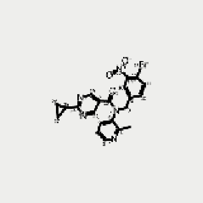 Cc1ncccc1N(Cc1ccc(Br)c([N+](=O)[O-])c1)C(=O)c1cnc(C2CC2)nc1